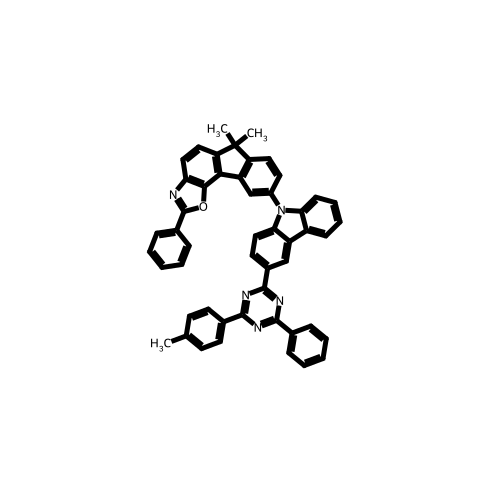 Cc1ccc(-c2nc(-c3ccccc3)nc(-c3ccc4c(c3)c3ccccc3n4-c3ccc4c(c3)-c3c(ccc5nc(-c6ccccc6)oc35)C4(C)C)n2)cc1